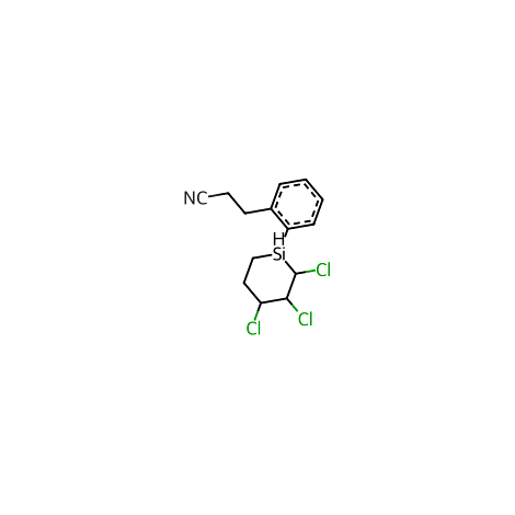 N#CCCc1ccccc1[SiH]1CCC(Cl)C(Cl)C1Cl